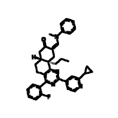 CCC[C@@]12C/C(=C/N(C)c3ccccc3)C(=O)C[C@H]1CCc1c(-c3ccccc3F)nc(-c3ccnc(C4CC4)c3)nc12